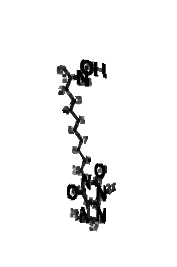 CC(CCCCCCCCCn1c(=O)c2c(ncn2C)n(C)c1=O)=NO